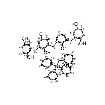 Cc1ccc(O)c(Cc2cccc(Cc3cc(C)cc(Cc4cc(C)ccc4O)c3O)c2[O-])c1.c1ccc(C[N+](c2ccccc2)(c2ccccc2)c2ccccc2)cc1